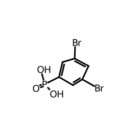 O=P(O)(O)c1cc(Br)cc(Br)c1